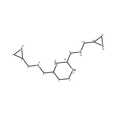 C1CC(CSCC2CS2)[Se]C(CSCC2CS2)[Se]1